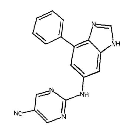 N#Cc1cnc(Nc2cc(-c3ccccc3)c3nc[nH]c3c2)nc1